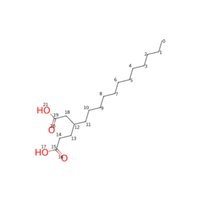 CCCCCCCCCCCCC(CCC(=O)O)CC(=O)O